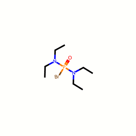 CCN(CC)P(=O)(Br)N(CC)CC